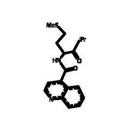 CSCCC(NC(=O)c1ccnc2ccccc12)C(=O)C(C)C